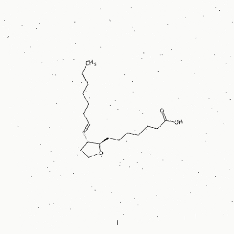 CCCCCCC=C[C@H]1CCO[C@@H]1CCCCCCC(=O)O